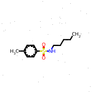 [CH2]CCCCNS(=O)(=O)c1ccc(C)cc1